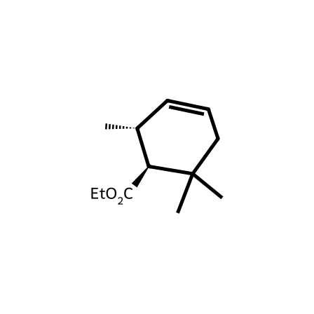 CCOC(=O)[C@H]1[C@H](C)C=CCC1(C)C